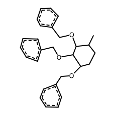 CC1CCC(OCc2ccccc2)C(OCc2ccccc2)C1OCc1ccccc1